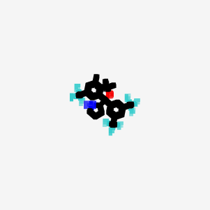 Cc1cc(C(F)(F)F)cc(C(O[Si](C)(C)C)(c2cc(C(F)(F)F)cc(C(F)(F)F)c2)[C@H]2CCCN2)c1